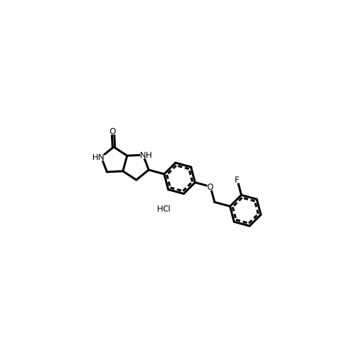 Cl.O=C1NCC2CC(c3ccc(OCc4ccccc4F)cc3)NC12